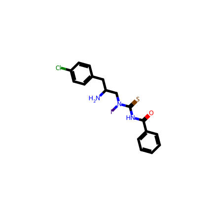 NC(Cc1ccc(Cl)cc1)CN(I)C(=S)NC(=O)c1ccccc1